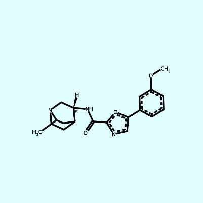 COc1cccc(-c2cnc(C(=O)N[C@H]3CN4CCC3CC4C)o2)c1